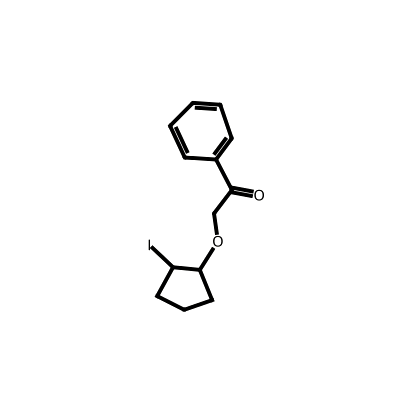 O=C(COC1CCCC1I)c1ccccc1